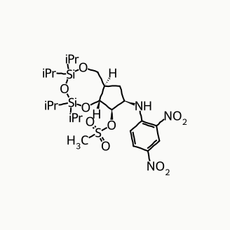 CC(C)[Si]1(C(C)C)OC[C@H]2C[C@@H](Nc3ccc([N+](=O)[O-])cc3[N+](=O)[O-])[C@@H](OS(C)(=O)=O)[C@@H]2O[Si](C(C)C)(C(C)C)O1